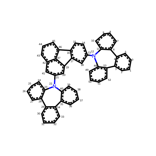 c1ccc2c(c1)-c1ccccc1N(c1ccc3c(c1)-c1cc(N4c5ccccc5-c5ccccc5-c5ccccc54)cc4cccc-3c14)c1ccccc1-2